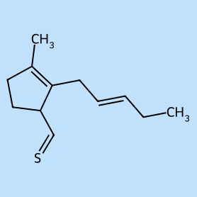 CCC=CCC1=C(C)CCC1C=S